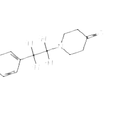 [2H]C([2H])(c1ccccc1)C([2H])([2H])N1CCC(=O)CC1